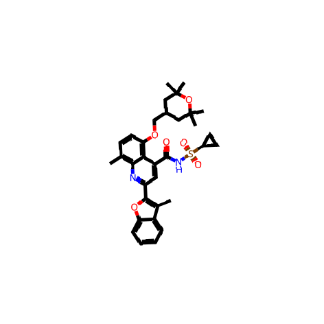 Cc1c(-c2cc(C(=O)NS(=O)(=O)C3CC3)c3c(OCC4CC(C)(C)OC(C)(C)C4)ccc(C)c3n2)oc2ccccc12